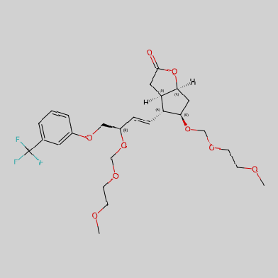 COCCOCO[C@H](C=C[C@@H]1[C@H]2CC(=O)O[C@H]2C[C@H]1OCOCCOC)COc1cccc(C(F)(F)F)c1